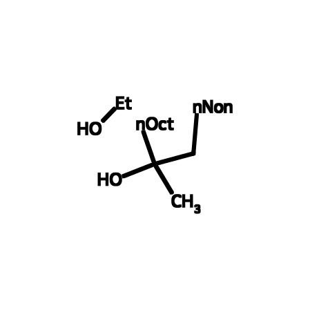 CCCCCCCCCCC(C)(O)CCCCCCCC.CCO